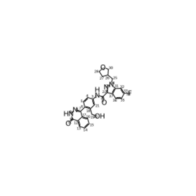 O=C(Nc1ccc(-c2n[nH]c(=O)c3ccccc23)c(CO)c1)c1nn(CC2CCOC2)c2cc(F)ccc12